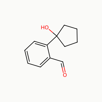 O=Cc1ccccc1C1(O)CCCC1